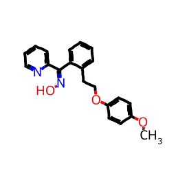 COc1ccc(OCCc2ccccc2C(=NO)c2ccccn2)cc1